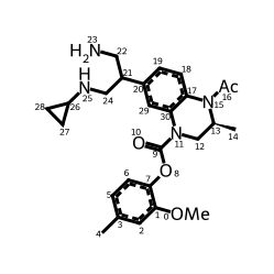 COc1cc(C)ccc1OC(=O)N1C[C@H](C)N(C(C)=O)c2ccc(C(CN)CNC3CC3)cc21